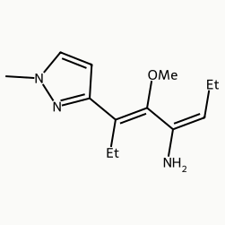 CC/C=C(N)\C(OC)=C(/CC)c1ccn(C)n1